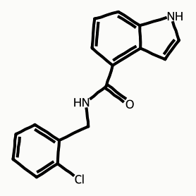 O=C(NCc1ccccc1Cl)c1cccc2[nH]ccc12